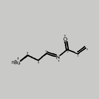 C=CC(=O)N=CCCCCCC